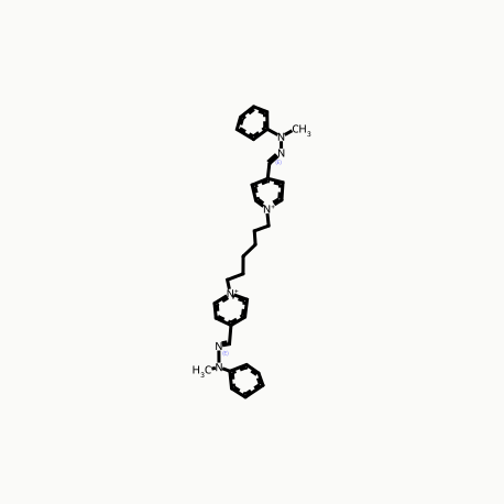 CN(/N=C/c1cc[n+](CCCCCC[n+]2ccc(/C=N/N(C)c3ccccc3)cc2)cc1)c1ccccc1